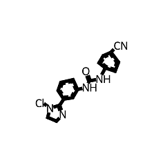 N#Cc1ccc(NC(=O)Nc2cccc(C3=NCCN3Cl)c2)cc1